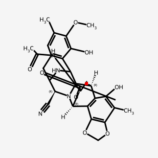 COc1c(C)cc2c(c1O)C1NC(C2)[C@H](C#N)N2C1[C@@H]1SCC(NC(C)=O)C(=O)OC[C@H]2c2c3c(c(C)c(O)c21)OCO3